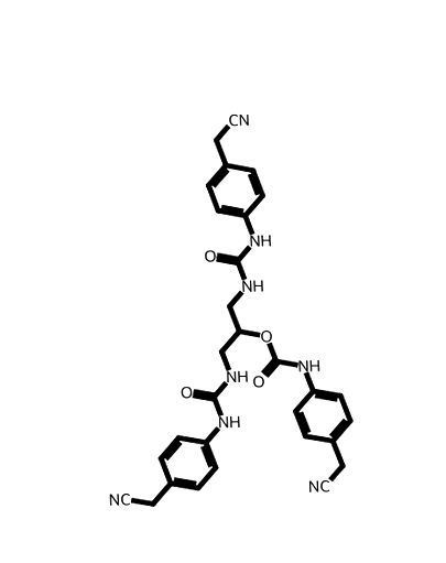 N#CCc1ccc(NC(=O)NCC(CNC(=O)Nc2ccc(CC#N)cc2)OC(=O)Nc2ccc(CC#N)cc2)cc1